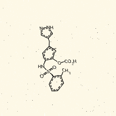 Cc1ccccc1S(=O)(=O)Nc1cc(-c2cn[nH]c2)sc1OC(=O)O